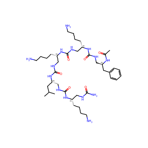 CC(=O)N[C@H](CNC(=O)N[C@@H](CCCCN)CNC(=O)N[C@@H](CCCCN)CNC(=O)N[C@H](CNC(=O)N[C@@H](CCCCN)CNC(N)=O)CC(C)C)Cc1ccccc1